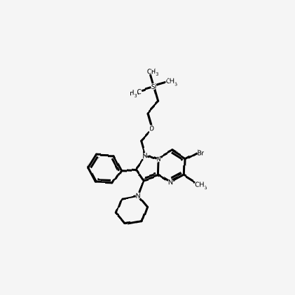 CC1=NC2=C(N3CCCCC3)C(c3ccccc3)N(COCC[Si](C)(C)C)N2C=C1Br